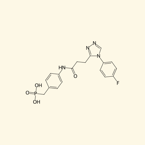 O=C(CCc1nncn1-c1ccc(F)cc1)Nc1ccc(CP(=O)(O)O)cc1